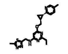 CCc1nc(NCc2nnc(C)s2)cc(OC[C@H]2C[C@@H]2c2ccc(C)cn2)n1